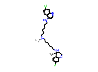 CN(CCCCCCNc1ccnc2cc(Cl)ccc12)CCCCCCNC1(C)CC=Nc2cc(Cl)ccc21